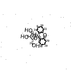 OC[C@H]1OC[C@H](O)[C@@H]1O.c1ccc2c(c1)Nc1ccccc1O2